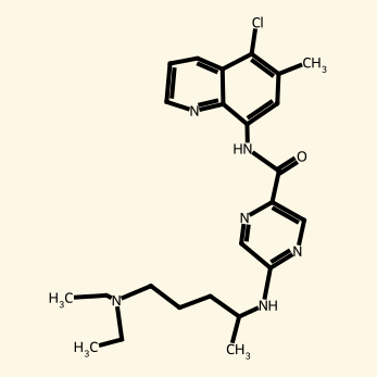 CCN(CC)CCCC(C)Nc1cnc(C(=O)Nc2cc(C)c(Cl)c3cccnc23)cn1